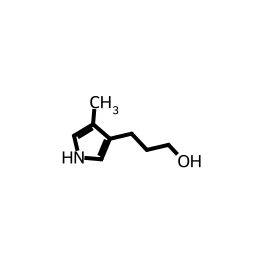 Cc1c[nH]cc1CCCO